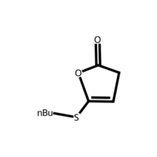 CCCCSC1=CCC(=O)O1